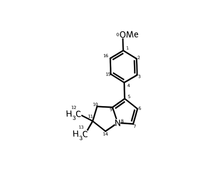 COc1ccc(-c2ccn3c2CC(C)(C)C3)cc1